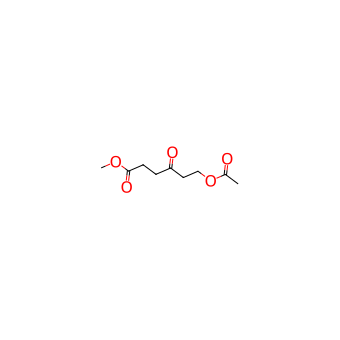 COC(=O)CCC(=O)CCOC(C)=O